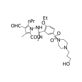 CCCc1c(C=O)c(C)c(C(=O)O)n1NC(=O)c1cc(S(=O)(=O)N2CCN(CCCO)CC2)ccc1OCC